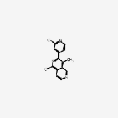 Cc1c(-c2ccnc(Cl)c2)nc(Cl)c2ccncc12